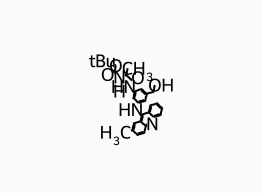 Cc1ccc2nc3ccccc3c(Nc3cc(CO)cc(NC(=O)C(C)NC(=O)OC(C)(C)C)c3)c2c1